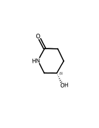 O=C1CC[C@H](O)CN1